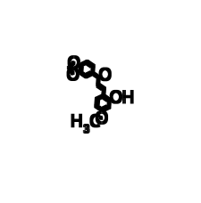 COc1ccc(C=CC(=O)c2ccc3c(c2)OCO3)c(O)c1